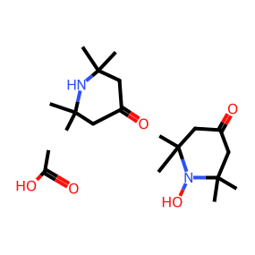 CC(=O)O.CC1(C)CC(=O)CC(C)(C)N1.CC1(C)CC(=O)CC(C)(C)N1O